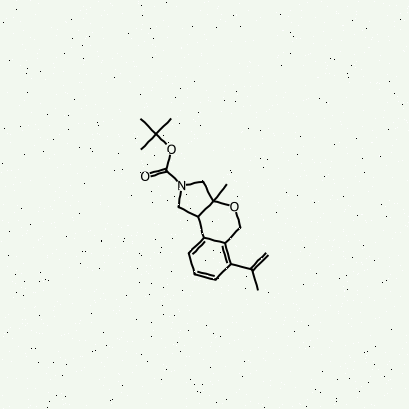 C=C(C)c1cccc2c1COC1(C)CN(C(=O)OC(C)(C)C)CC21